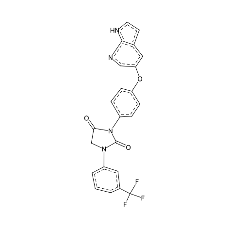 O=C1CN(c2cccc(C(F)(F)F)c2)C(=O)N1c1ccc(Oc2cnc3[nH]ccc3c2)cc1